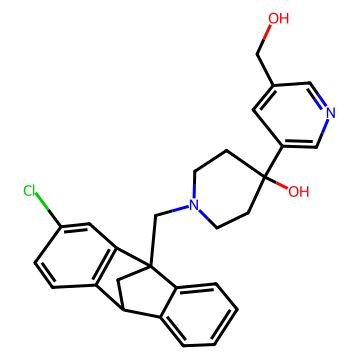 OCc1cncc(C2(O)CCN(CC34CC(c5ccccc53)c3ccc(Cl)cc34)CC2)c1